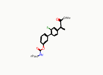 CCCCCNC(=O)Oc1cccc(-c2ccc(C(C)C(=O)OC)cc2F)c1